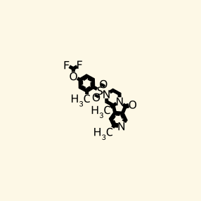 Cc1cc2c(cn1)C(=O)N1CCN(S(=O)(=O)c3ccc(OC(F)F)cc3C)CC21C